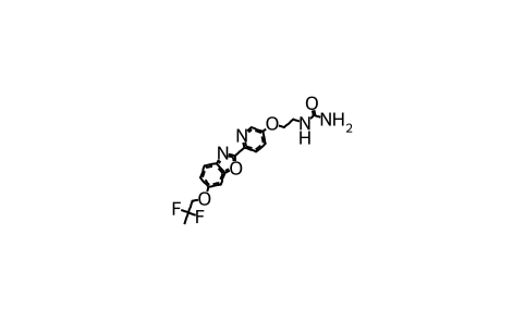 CC(F)(F)COc1ccc2nc(-c3ccc(OCCNC(N)=O)cn3)oc2c1